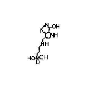 O=P(O)(O)CC=CNCc1c[nH]c2c(O)ncnc12